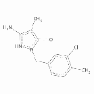 Cc1ccc(Cn2[nH]c(N)c(C)c2=O)cc1Cl